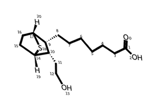 O=C(O)CCCCCC[C@@H]1[C@H](CCO)[C@@H]2CC[C@H]1S2